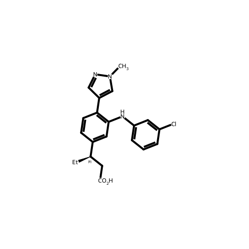 CC[C@H](CC(=O)O)c1ccc(-c2cnn(C)c2)c(Nc2cccc(Cl)c2)c1